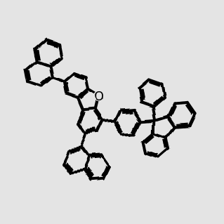 c1ccc(C2(c3ccc(-c4cc(-c5cccc6ccccc56)cc5c4oc4ccc(-c6cccc7ccccc67)cc45)cc3)c3ccccc3-c3ccccc32)cc1